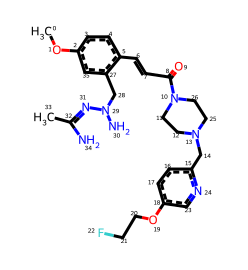 COc1ccc(/C=C/C(=O)N2CCN(Cc3ccc(OCCF)cn3)CC2)c(CN(N)/N=C(/C)N)c1